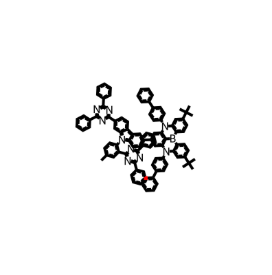 Cc1ccc(-n2c3ccc(-c4cc5c6c(c4)N(c4ccc(-c7ccccc7)cc4)c4cc(C(C)(C)C)ccc4B6c4ccc(C(C)(C)C)cc4N5c4ccc(-c5ccccc5)cc4)cc3c3ccc(-c4nc(-c5ccccc5)nc(-c5ccccc5)n4)cc32)c(-c2nc(-c3ccccc3)nc(-c3ccccc3)n2)c1